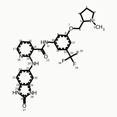 CN1CCCC1COc1cc(NC(=O)c2cccnc2Nc2ccc3[nH]c(=O)[nH]c3c2)cc(C(F)(F)F)c1